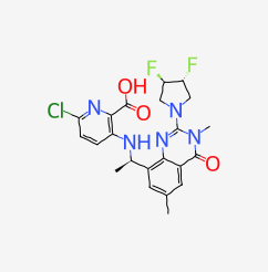 Cc1cc([C@@H](C)Nc2ccc(Cl)nc2C(=O)O)c2nc(N3C[C@@H](F)[C@H](F)C3)n(C)c(=O)c2c1